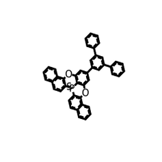 S=P12c3ccc4ccccc4c3Oc3cc(-c4cc(-c5ccccc5)cc(-c5ccccc5)c4)cc(c31)Oc1c2ccc2ccccc12